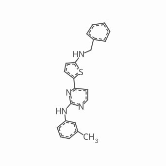 Cc1cccc(Nc2nccc(-c3ccc(NCc4ccccc4)s3)n2)c1